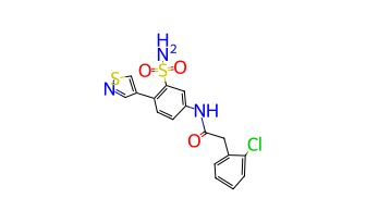 NS(=O)(=O)c1cc(NC(=O)Cc2ccccc2Cl)ccc1-c1cnsc1